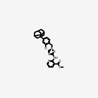 COC(=O)c1cccnc1Nc1ncn(Cc2ccc(C34CC5CC(CC(C5)C3)C4)cc2Cl)n1